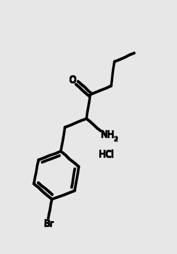 CCCC(=O)C(N)Cc1ccc(Br)cc1.Cl